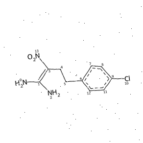 NC(N)=C(CCc1ccc(Cl)cc1)[N+](=O)[O-]